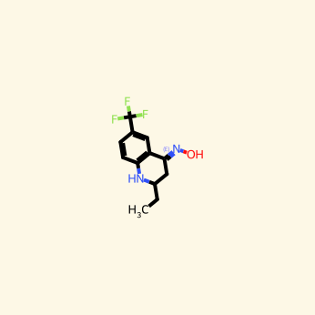 CCC1C/C(=N\O)c2cc(C(F)(F)F)ccc2N1